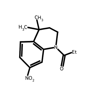 CCC(=O)N1CCC(C)(C)c2ccc([N+](=O)[O-])cc21